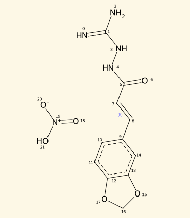 N=C(N)NNC(=O)/C=C/c1ccc2c(c1)OCO2.O=[N+]([O-])O